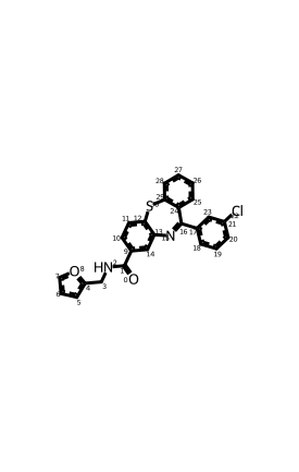 O=C(NCc1ccco1)c1ccc2c(c1)N=C(c1cccc(Cl)c1)c1ccccc1S2